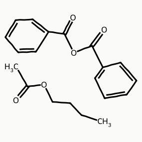 CCCCOC(C)=O.O=C(OC(=O)c1ccccc1)c1ccccc1